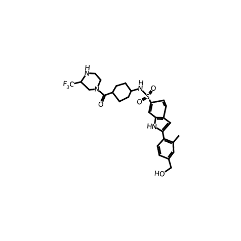 Cc1cc(CO)ccc1-c1cc2ccc(S(=O)(=O)NC3CCC(C(=O)N4CCNC(C(F)(F)F)C4)CC3)cc2[nH]1